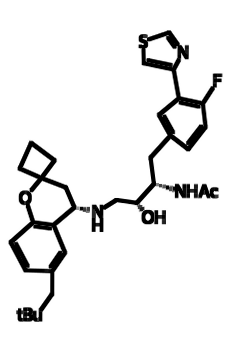 CC(=O)N[C@@H](Cc1ccc(F)c(-c2cscn2)c1)[C@H](O)CN[C@H]1CC2(CCC2)Oc2ccc(CC(C)(C)C)cc21